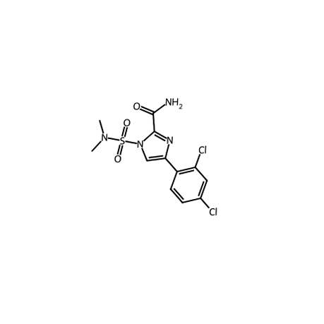 CN(C)S(=O)(=O)n1cc(-c2ccc(Cl)cc2Cl)nc1C(N)=O